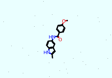 COc1ccc(C(=O)Nc2ccc3[nH]c(C)cc3c2)cc1